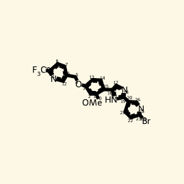 COc1cc(OCc2ccc(C(F)(F)F)nc2)ccc1-c1cnc(-c2ccc(Br)nc2)[nH]1